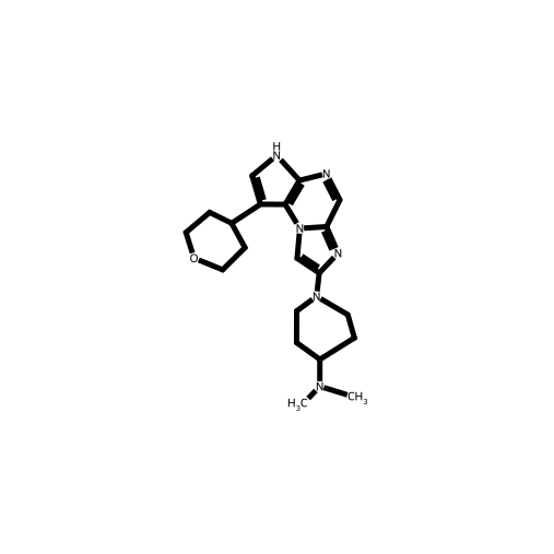 CN(C)C1CCN(c2cn3c(cnc4[nH]cc(C5CCOCC5)c43)n2)CC1